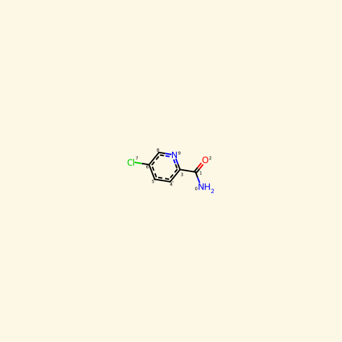 NC(=O)c1[c]cc(Cl)cn1